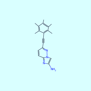 Cc1c(C)c(C)c(C#Cc2ccc3nc(N)cn3n2)c(C)c1C